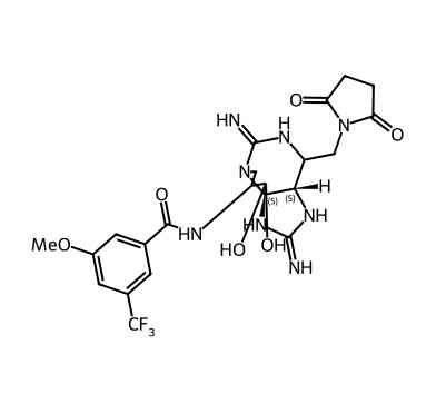 COc1cc(C(=O)NC2CN3C(=N)NC(CN4C(=O)CCC4=O)[C@@H]4NC(=N)N[C@@]43C2(O)O)cc(C(F)(F)F)c1